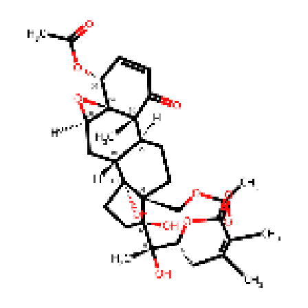 CC(=O)OC[C@]12CC[C@H]3[C@@H](C[C@H]4O[C@]45[C@H](OC(C)=O)C=CC(=O)[C@]35C)[C@]1(O)CC[C@@]2(O)[C@@](C)(O)[C@H]1CC(C)=C(C)C(=O)O1